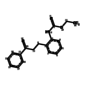 O=C(Nc1ccccc1CCC(=O)c1ccccc1)OCC(Cl)(Cl)Cl